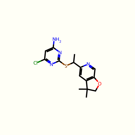 CC(Sc1nc(N)cc(Cl)n1)c1cc2c(cn1)OCC2(C)C